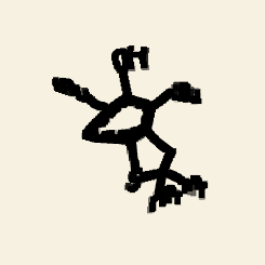 CCCC1(CCC)Cc2c(cc(C(C)(C)C)c(O)c2C(C)(C)C)S1